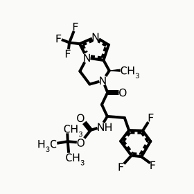 C[C@@H]1c2cnc(C(F)(F)F)n2CCN1C(=O)CC(Cc1cc(F)c(F)cc1F)NC(=O)OC(C)(C)C